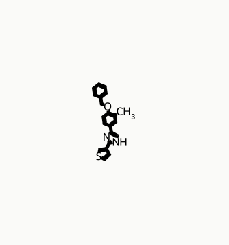 Cc1cc(-c2c[nH]c(-c3ccsc3)n2)ccc1OCc1ccccc1